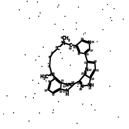 CN1CCCCN(C)c2cccc3[nH]c(nc23)-c2n[nH]c3ccc(nc23)-c2cncc(c2)C1